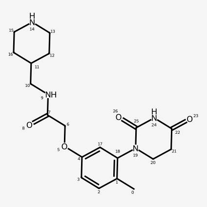 Cc1ccc(OCC(=O)NCC2CCNCC2)cc1N1CCC(=O)NC1=O